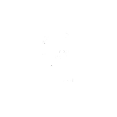 CC(C)(C)[O][Al].CCC(C(C)=O)C(=O)O.CCC(C(C)=O)C(=O)O